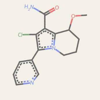 COC1CCCn2c(-c3cccnc3)c(Cl)c(C(N)=O)c21